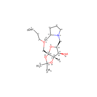 CCCCCCCCCCCCOC[C@@]12O[C@@H](CN3CCCC3CC)[C@@H](O)[C@@H]1OC(C)(C)O2